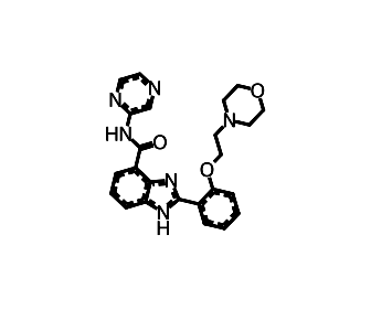 O=C(Nc1cnccn1)c1cccc2[nH]c(-c3ccccc3OCCN3CCOCC3)nc12